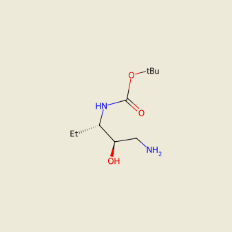 CC[C@H](NC(=O)OC(C)(C)C)[C@H](O)CN